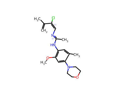 C=C(C)/C(Cl)=C\N=C(/C)Nc1cc(C)c(N2CCOCC2)cc1OC